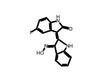 O=C1Nc2ccc(I)cc2/C1=C1/Nc2ccccc2/C1=N\O